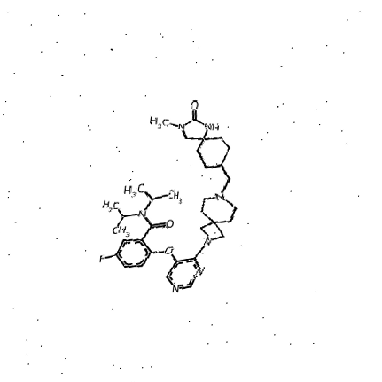 CC(C)N(C(=O)c1cc(F)ccc1Oc1cncnc1N1CC2(CCN(CC3CCC4(CC3)CN(C)C(=O)N4)CC2)C1)C(C)C